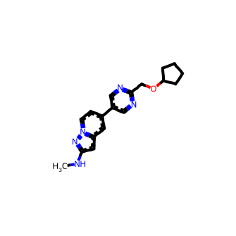 CNc1cc2cc(-c3cnc(COC4CCCC4)nc3)ccn2n1